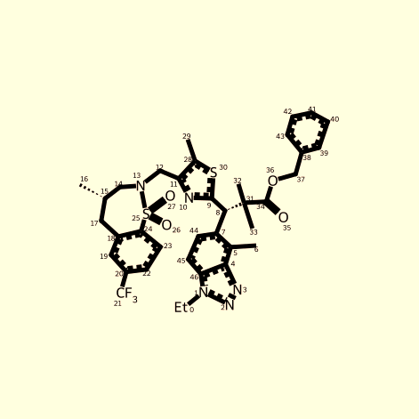 CCn1nnc2c(C)c([C@H](c3nc(CN4C[C@@H](C)Cc5cc(C(F)(F)F)ccc5S4(=O)=O)c(C)s3)C(C)(C)C(=O)OCc3ccccc3)ccc21